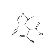 Cn1ncc(C#N)c1N(C(=O)O)C(=O)O